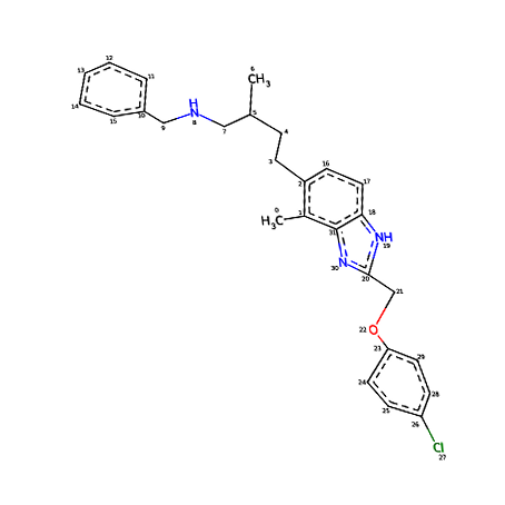 Cc1c(CCC(C)CNCc2ccccc2)ccc2[nH]c(COc3ccc(Cl)cc3)nc12